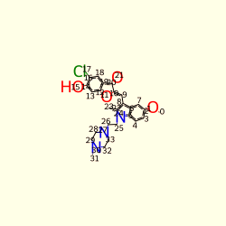 COc1ccc2c(c1)c(/C=C1\Oc3cc(O)c(Cl)cc3C1=O)c(C)n2CCN1CCN(C)CC1